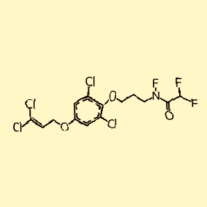 O=C(C(F)F)N(F)CCCOc1c(Cl)cc(OCC=C(Cl)Cl)cc1Cl